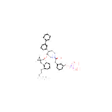 COCCCc1ccccc1CC1(COC2CN(C(=O)Cc3cccc(CON(O)O)c3)CC[C@@H]2c2cccc(-c3ccccc3)c2)CC1